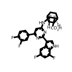 O=C(O)[C@@H]1C2CCC(CC2)[C@H]1Nc1cc(-c2ccc(F)c(F)c2)nc(-c2c[nH]c3c(F)cc(F)cc23)n1